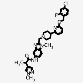 CC(C(=O)Nc1ccc2c(c1)nc(CN1CCC(c3cccc(OCc4ccc(Cl)cc4F)n3)CC1)n2C)c1cnn(C)c1